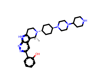 C[C@@H]1c2c([nH]c3nnc(-c4ccccc4O)cc23)CCN1[C@H]1CC[C@H](N2CCN(C3CCNCC3)CC2)CC1